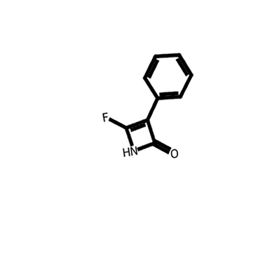 O=C1NC(F)=C1c1ccccc1